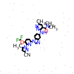 Cc1cc(C(=O)N(C)C)c(Nc2ccc3c(c2)ncn3-c2ccc(OC(F)F)c(-n3nc(C#N)cc3C)n2)nn1